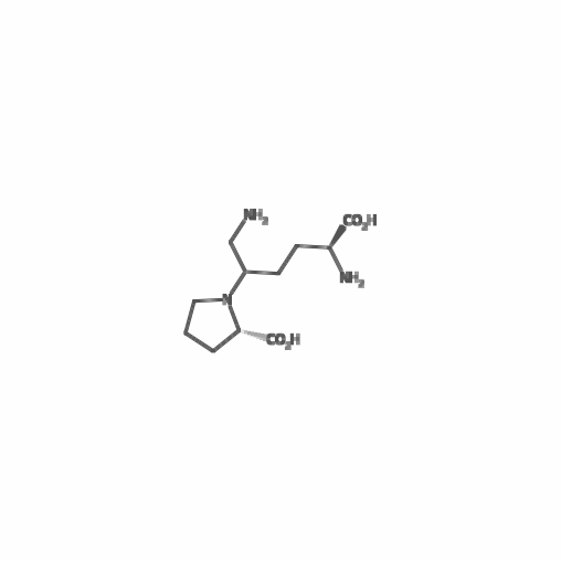 NCC(CC[C@H](N)C(=O)O)N1CCC[C@H]1C(=O)O